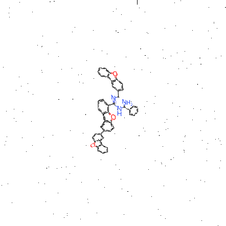 NC(N/C(=N\Cc1ccc2oc3ccccc3c2c1)c1cccc2c1oc1ccc(-c3ccc4oc5ccccc5c4c3)cc12)c1ccccc1